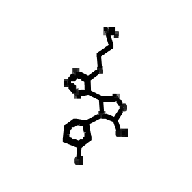 NCCSc1nonc1C1=NOC(O)N1c1cccc(Cl)c1